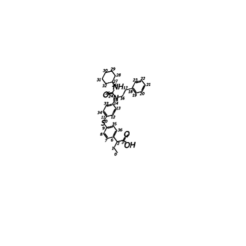 CCC(C(=O)O)c1ccc(Sc2ccc(N(CCc3ccccc3)C(=O)NC3CCCCC3)cc2)cc1